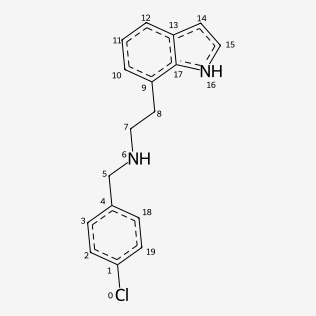 Clc1ccc(CNCCc2cccc3cc[nH]c23)cc1